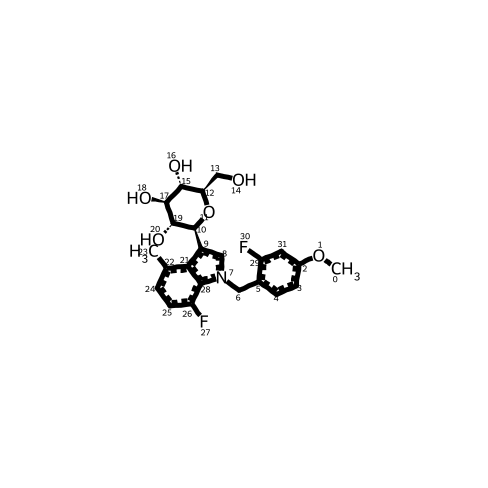 COc1ccc(Cn2cc([C@@H]3O[C@H](CO)[C@@H](O)[C@H](O)[C@H]3O)c3c(C)ccc(F)c32)c(F)c1